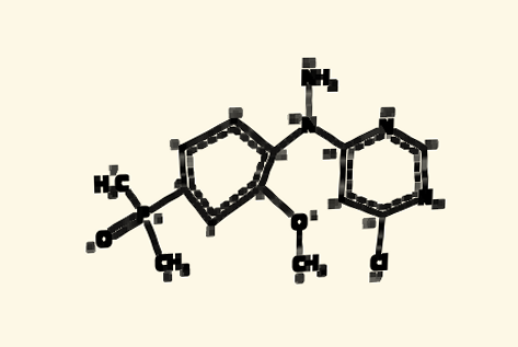 COc1cc(P(C)(C)=O)ccc1N(N)c1cc(Cl)ncn1